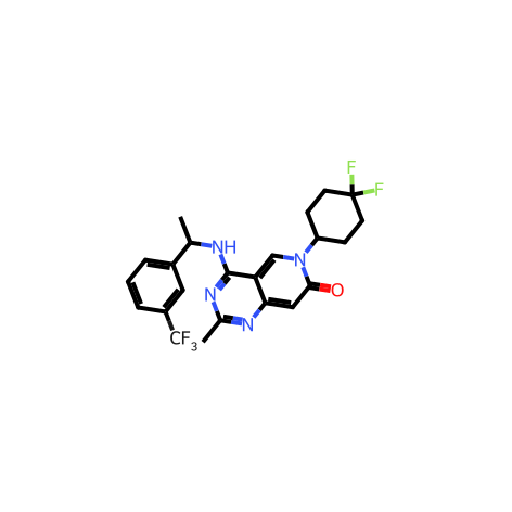 Cc1nc(NC(C)c2cccc(C(F)(F)F)c2)c2cn(C3CCC(F)(F)CC3)c(=O)cc2n1